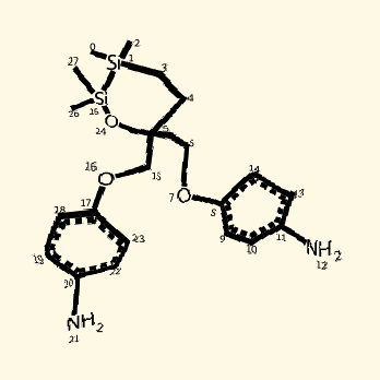 C[Si]1(C)CCC(COc2ccc(N)cc2)(COc2ccc(N)cc2)O[Si]1(C)C